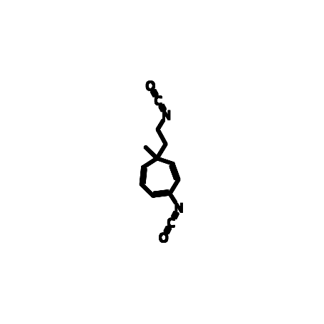 CC1(CCN=C=O)C=CC=C(N=C=O)C=C1